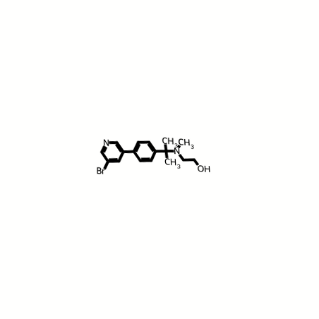 CN(CCO)C(C)(C)c1ccc(-c2cncc(Br)c2)cc1